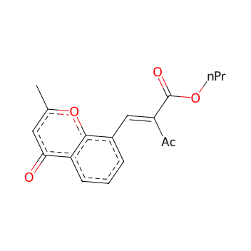 CCCOC(=O)/C(=C/c1cccc2c(=O)cc(C)oc12)C(C)=O